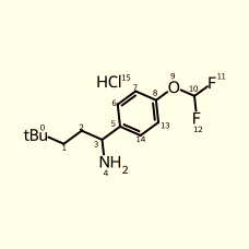 CC(C)(C)CCC(N)c1ccc(OC(F)F)cc1.Cl